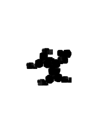 CN(CN1C(=O)c2ccccc2C1=O)c1cc2c3c(c1)-n1ccc4c(N(c5ccc(C(C)(C)C)cc5)c5ccc(C(C)(C)C)cc5)ccc(c41)B3c1ccc(N(c3ccc(C(C)(C)C)cc3)c3ccc(C(C)(C)C)cc3)c3ccn-2c13